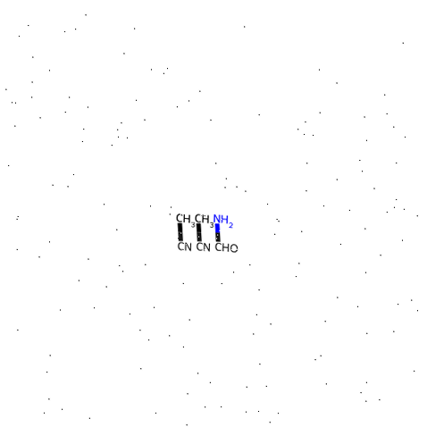 CC#N.CC#N.NC=O